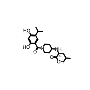 CC(C)C[C@H](NC1CCN(C(=O)c2cc(C(C)C)c(O)cc2O)CC1)C(=O)O